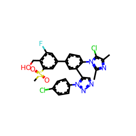 Cc1nc(C)n(-c2ccc(-c3cc(F)c(CO)c(S(C)(=O)=O)c3)cc2-c2cnnn2-c2ccc(Cl)cc2)c1Cl